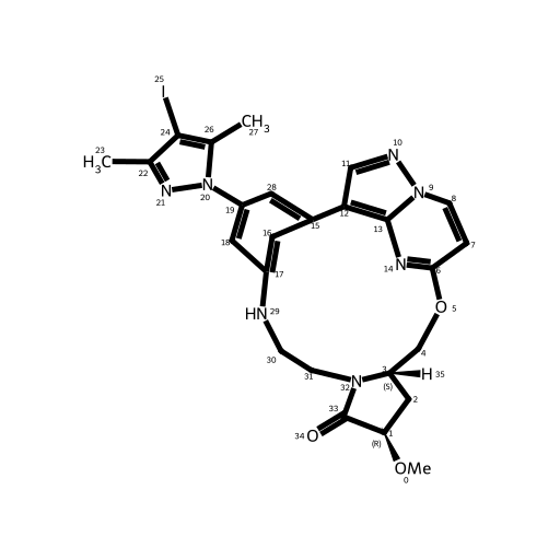 CO[C@@H]1C[C@H]2COc3ccn4ncc(c4n3)-c3cc(cc(-n4nc(C)c(I)c4C)c3)NCCN2C1=O